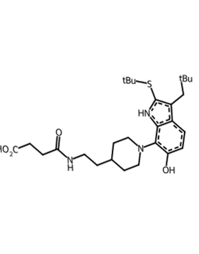 CC(C)(C)Cc1c(SC(C)(C)C)[nH]c2c(N3CCC(CCNC(=O)CCC(=O)O)CC3)c(O)ccc12